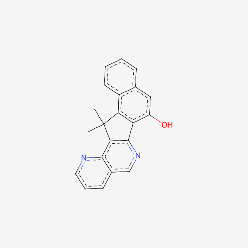 CC1(C)c2c(c(O)cc3ccccc23)-c2ncc3cccnc3c21